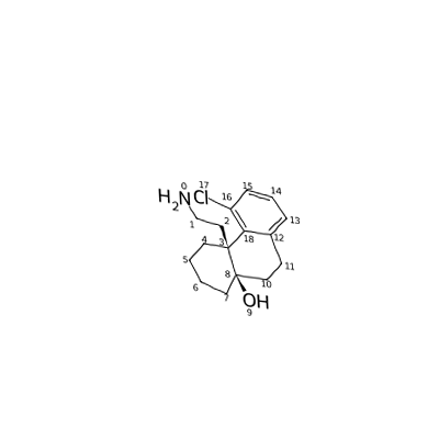 NCC[C@]12CCCC[C@@]1(O)CCc1cccc(Cl)c12